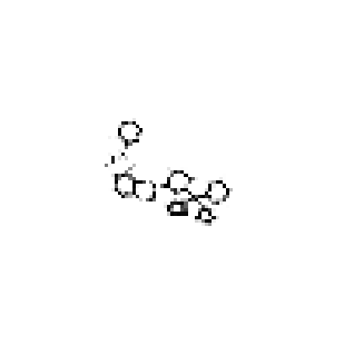 c1ccc(-c2cnc3ccc4ncc(-c5ccc6c(c5)C5(c7ccccc7O6)c6ccccc6-c6ccccc65)nc4c3n2)cc1